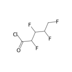 O=C(Cl)C(F)C(F)C(F)CF